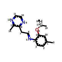 Cc1ccc(N=CCc2nccnc2C)c(O[SiH](C)C)c1